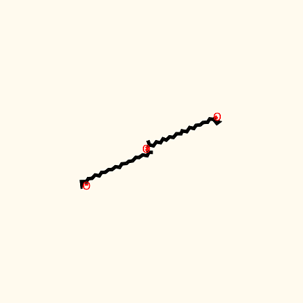 CC(CCCCCCCCCCCCCCCCCCC1CCO1)OC(C)CCCCCCCCCCCCCCCCCCC1CCO1